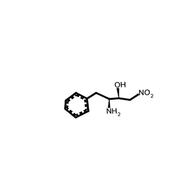 N[C@@H](Cc1ccccc1)[C@@H](O)C[N+](=O)[O-]